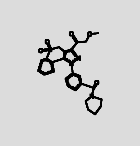 COCC(=O)c1nn(-c2cccc(C(=O)N3CCCCC3)c2)c2c1CS(=O)(=O)c1ccccc1-2